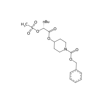 CCCC[C@@H](OS(C)(=O)=O)C(=O)OC1CCN(C(=O)OCc2ccccc2)CC1